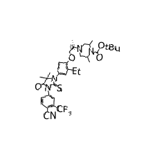 CCc1cc(N2C(=S)N(c3ccc(C#N)c(C(F)(F)F)c3)C(=O)C2(C)C)ccc1OC[C@H](C)N1CC(C)N(C(=O)OC(C)(C)C)C(C)C1